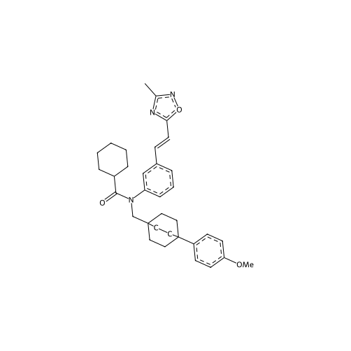 COc1ccc(C23CCC(CN(C(=O)C4CCCCC4)c4cccc(C=Cc5nc(C)no5)c4)(CC2)CC3)cc1